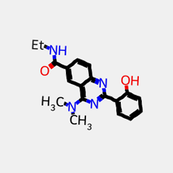 CCNC(=O)c1ccc2nc(-c3ccccc3O)nc(N(C)C)c2c1